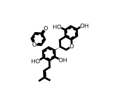 CC(C)=CCc1c(O)ccc([C@H]2COc3cc(O)cc(O)c3C2)c1O.O=c1ccocc1